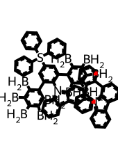 Bc1c(B)c(B)c(-c2cc(S(c3ccccc3)(c3ccccc3)c3ccccc3)cc(-c3c(B)c(B)c(B)c(B)c3B)c2-n2c3ccccc3c3cc(-n4c5ccccc5c5cccc(-c6ccccc6-c6ccccc6)c54)ccc32)c(B)c1B